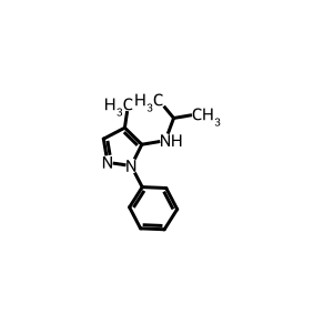 Cc1cnn(-c2ccccc2)c1NC(C)C